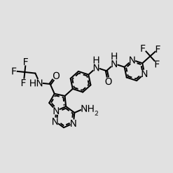 Nc1ncnn2cc(C(=O)NCC(F)(F)F)c(-c3ccc(NC(=O)Nc4ccnc(C(F)(F)F)n4)cc3)c12